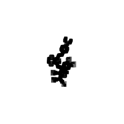 CCN(CC)c1ccc(/C=C/c2sc(/C=C/C3=C(C#N)C(=C(C#N)C#N)OC3(C)c3ccc(Cl)c(Cl)c3)c3c2OCCO3)cc1